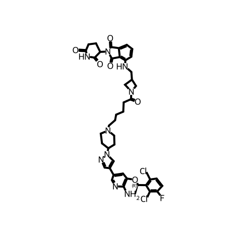 C[C@@H](Oc1cc(-c2cnn(C3CCN(CCCCCC(=O)N4CC(CNc5cccc6c5C(=O)N(C5CCC(=O)NC5=O)C6=O)C4)CC3)c2)cnc1N)c1c(Cl)ccc(F)c1Cl